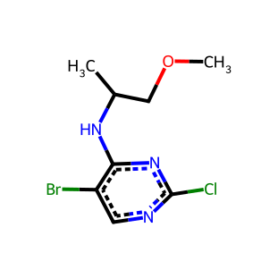 COCC(C)Nc1nc(Cl)ncc1Br